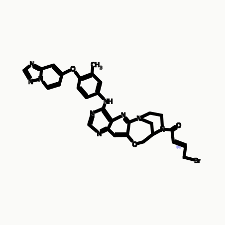 Cc1cc(Nc2ncnc3cc4c(nc23)N2CCN(C(=O)/C=C/CBr)C(CO4)C2)ccc1Oc1ccn2ncnc2c1